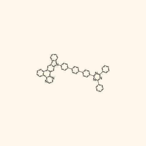 c1ccc(-c2nc(-c3ccccc3)nc(-c3ccc(-c4ccc(-c5ccc(-n6c7ccccc7c7cc8c9ccccc9c9nccnc9c8cc76)cc5)cc4)cc3)n2)cc1